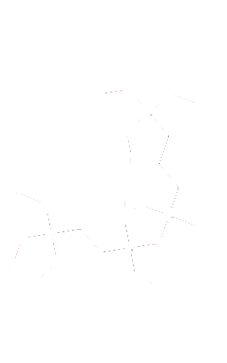 CCO[Si](CCC[Si](C)(C)O[Si](C)(C)CC[Si](OCC)(OCC)OCC)(OCC)OCC